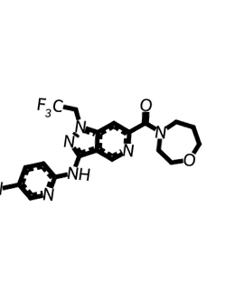 O=C(c1cc2c(cn1)c(Nc1ccc(Cl)cn1)nn2CC(F)(F)F)N1CCCOCC1